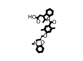 Cc1cc(C(=O)N2c3ccccc3C(CC(=O)O)C2C)c(C)cc1OC[C@@H]1CN(C)c2ccccc2O1